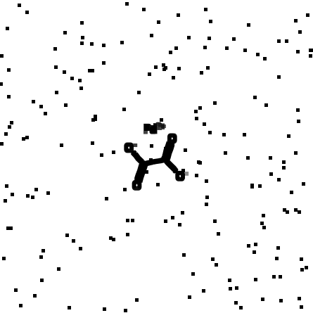 O=C([O-])C(=O)[O-].[Pd+2]